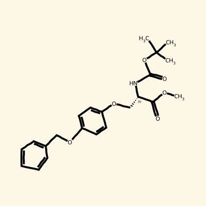 COC(=O)[C@H](COc1ccc(OCc2ccccc2)cc1)NC(=O)OC(C)(C)C